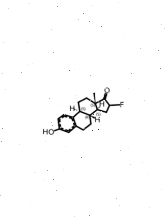 C[C@]12CC[C@@H]3c4ccc(O)cc4CC[C@H]3[C@@H]1CC(F)C2=O